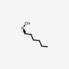 CCCC[CH]/C=N\O